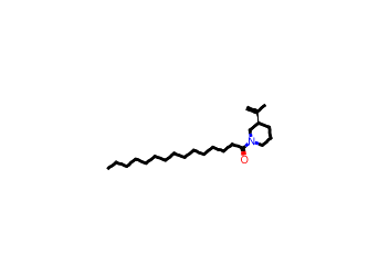 C=C(C)[C@H]1CCCN(C(=O)CCCCCCCCCCCCCC)C1